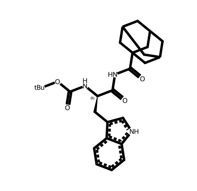 CC(C)(C)OC(=O)N[C@H](Cc1c[nH]c2ccccc12)C(=O)NC(=O)C12CC3CC(CC(C3)C1)C2